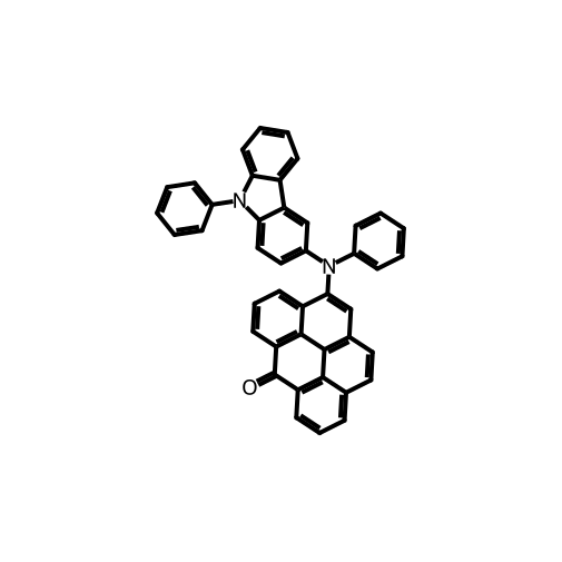 O=C1c2cccc3ccc4cc(N(c5ccccc5)c5ccc6c(c5)c5ccccc5n6-c5ccccc5)c5cccc1c5c4c23